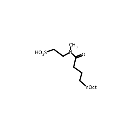 CCCCCCCCCCCC(=O)N(C)CCS(=O)(=O)O